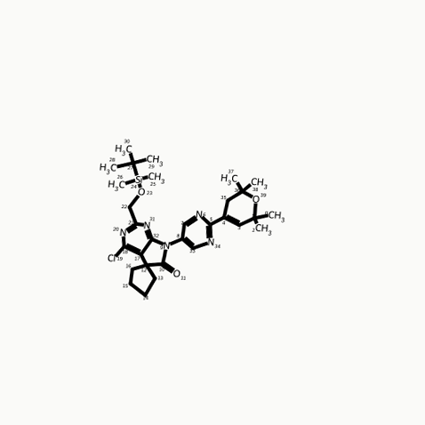 CC1(C)C=C(c2ncc(N3C(=O)C4(CCCC4)c4c(Cl)nc(CO[Si](C)(C)C(C)(C)C)nc43)cn2)CC(C)(C)O1